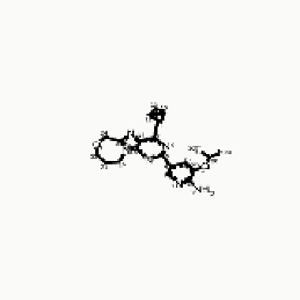 Nc1ncc(-c2nc(N3CC4CC3C4)c3nc4n(c3n2)CCCOC4)cc1OC(F)F